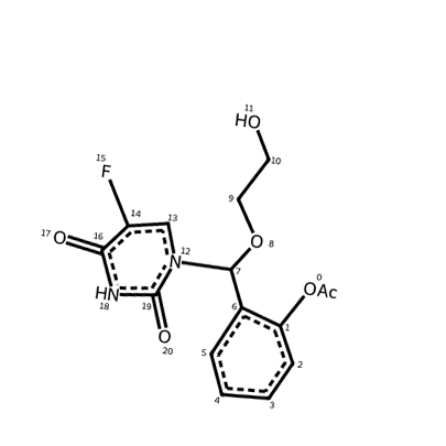 CC(=O)Oc1ccccc1C(OCCO)n1cc(F)c(=O)[nH]c1=O